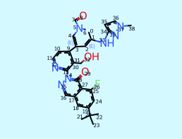 C/C(=C\C(=C/N(C)C=O)c1ccnc(-n2ncc3cc(C(C)(C)C)cc(F)c3c2=O)c1CO)Nc1ccn(C)n1